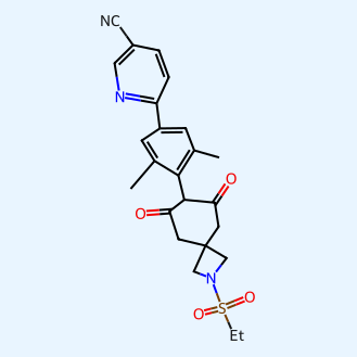 CCS(=O)(=O)N1CC2(CC(=O)C(c3c(C)cc(-c4ccc(C#N)cn4)cc3C)C(=O)C2)C1